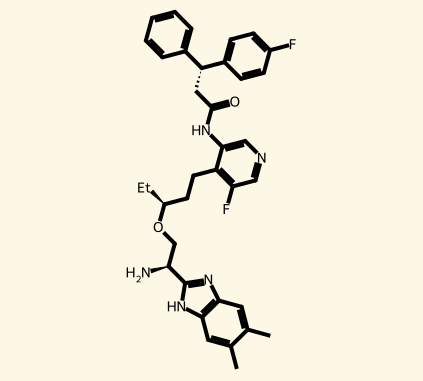 CC[C@@H](CCc1c(F)cncc1NC(=O)C[C@H](c1ccccc1)c1ccc(F)cc1)OC[C@H](N)c1nc2cc(C)c(C)cc2[nH]1